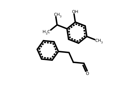 Cc1ccc(C(C)C)c(O)c1.O=CCCc1ccccc1